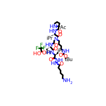 CC(=O)[C@]1(C(=O)N[C@@H](CC(C)C)C(=O)N(CCCCNC(=O)OC(C)(C)C)CC(=O)N[C@@H](CC(C)C)C(=O)N[C@@H](CC(C)C)C(=O)NNC(=O)CCCCCN)CCCN1.O=C(O)C(F)(F)F